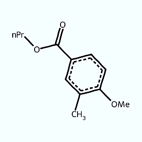 CCCOC(=O)c1ccc(OC)c(C)c1